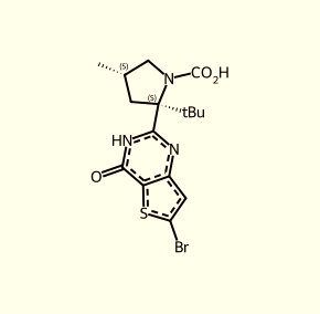 C[C@@H]1CN(C(=O)O)[C@](c2nc3cc(Br)sc3c(=O)[nH]2)(C(C)(C)C)C1